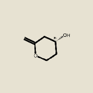 C=C1C[C@H](O)CCO1